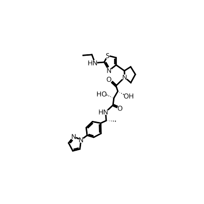 CCNc1nc(C2CCCN2C(=O)[C@H](O)[C@@H](O)C(=O)N[C@H](C)c2ccc(-n3cccn3)cc2)cs1